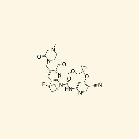 COCC1(Oc2cc(NC(=O)N3c4nc(C=O)c(CN5CCN(C)CC5=O)cc4C4(F)CC3C4)ncc2C#N)CC1